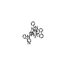 CC1(C)c2ccccc2-c2cccc(-c3nc(-c4ccccc4)nc(-c4ccc(-n5c6ccccc6c6cnccc65)cc4)n3)c21